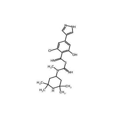 CN(C(=N)SC(=N)c1c(O)cc(-c2cn[nH]c2)cc1Cl)C1CC(C)(C)NC(C)(C)C1